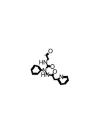 O=[C]CNC(=O)N(NC(=O)Cc1ccccn1)c1ccccc1